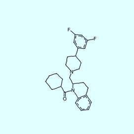 O=C(C1CCCCC1)N1c2ccccc2CCC1CN1CCC(c2cc(F)cc(F)c2)CC1